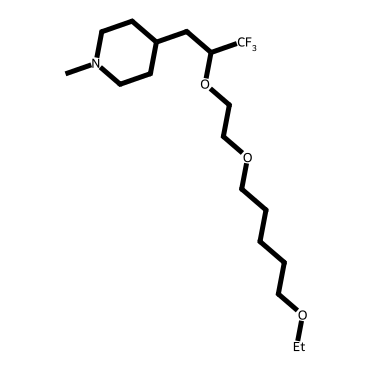 CCOCCCCCOCCOC(CC1CCN(C)CC1)C(F)(F)F